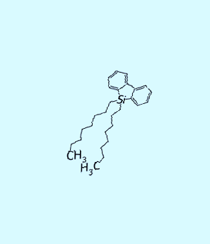 CCCCCCCC[Si]1(CCCCCCCC)c2ccccc2-c2ccccc21